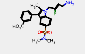 Cc1c(-c2cccc(C(=O)O)c2)c2cc(S(=O)(=O)N(C)C)ccc2n1CC(F)=CCN